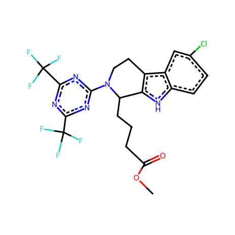 COC(=O)CCCC1c2[nH]c3ccc(Cl)cc3c2CCN1c1nc(C(F)(F)F)nc(C(F)(F)F)n1